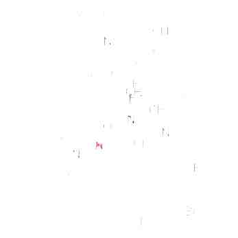 C[C@H](CC(F)(F)c1nc(N2CC3CCC(C2)N3C(=O)OC(C)(C)C)c2cc(F)c(Br)c(F)c2n1)C1[C@H](F)CC2CCCN21